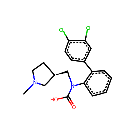 CN1CC[C@@H](CN(C(=O)O)c2ccccc2-c2ccc(Cl)c(Cl)c2)C1